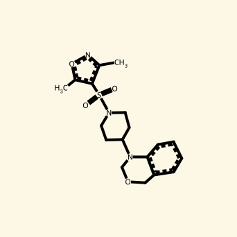 Cc1noc(C)c1S(=O)(=O)N1CCC(N2COCc3ccccc32)CC1